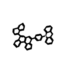 c1ccc2c(c1)Cc1ccccc1N2c1ccc(-c2cc3cc(-c4cccc5ccccc45)c4ccccc4c3c3ccccc23)cc1